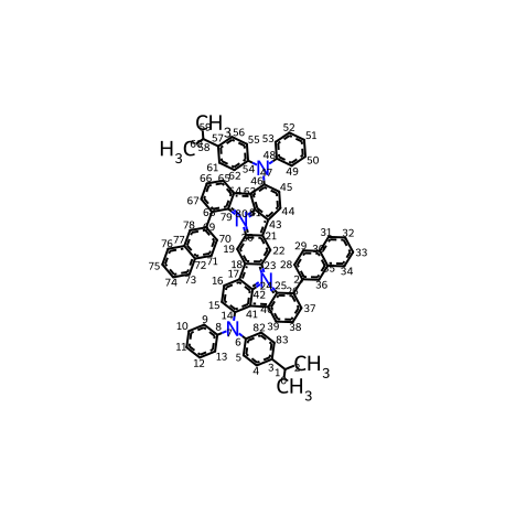 CC(C)c1ccc(N(c2ccccc2)c2ccc3c4cc5c(cc4n4c6c(-c7ccc8ccccc8c7)cccc6c2c34)c2ccc(N(c3ccccc3)c3ccc(C(C)C)cc3)c3c4cccc(-c6ccc7ccccc7c6)c4n5c23)cc1